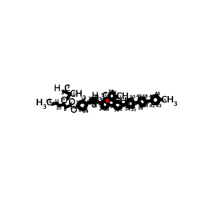 C=C(CC)C(=O)OC(CCCCCC)Oc1ccc(-c2ccc(-c3ccc4c(c3)C3(c5cc(-c6ccc(-c7ccc(-c8ccc(C)cc8)cc7)cc6)ccc5-4)C(C)(C)CCC3(C)C)s2)cc1